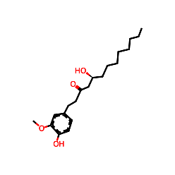 CCCCCCCC[C@H](O)CC(=O)CCc1ccc(O)c(OC)c1